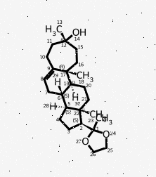 CC1([C@H]2CC[C@H]3[C@@H]4CC=C5CC[C@](C)(O)CC[C@]5(C)[C@H]4CC[C@]23C)OCCO1